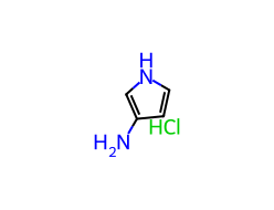 Cl.Nc1cc[nH]c1